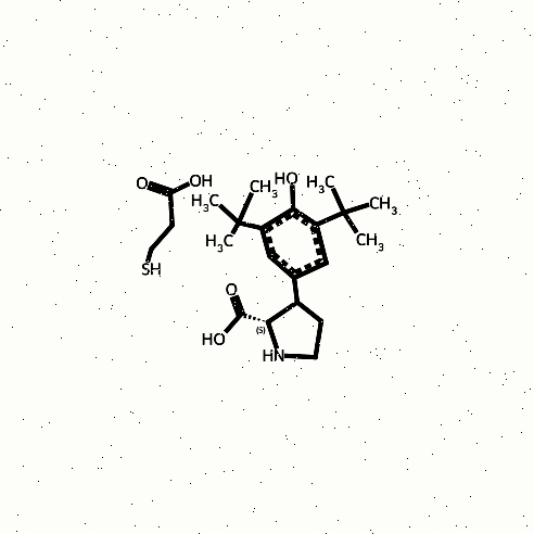 CC(C)(C)c1cc(C2CCN[C@@H]2C(=O)O)cc(C(C)(C)C)c1O.O=C(O)CCS